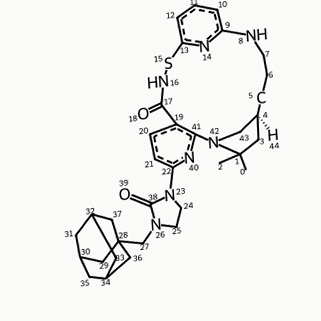 CC1(C)C[C@@H]2CCCNc3cccc(n3)SNC(=O)c3ccc(N4CCN(CC56CC7CC(CC(C7)C5)C6)C4=O)nc3N1C2